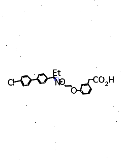 CC/C(=N\OCCOc1cccc(CC(=O)O)c1)c1ccc(-c2ccc(Cl)cc2)cc1